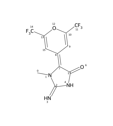 CN1C(=N)NC(=O)C1=C1C=C(C(F)(F)F)OC(C(F)(F)F)=C1